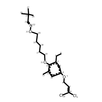 CCc1cc(OCC=C(Cl)Cl)cc(C)c1OCCCCCON=CC(C)(C)C